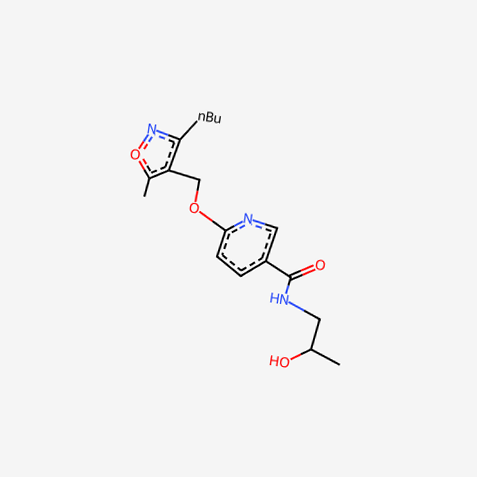 CCCCc1noc(C)c1COc1ccc(C(=O)NCC(C)O)cn1